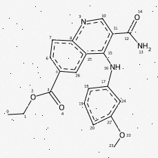 CCOC(=O)c1ccc2ncc(C(N)=O)c(Nc3cccc(OC)c3)c2c1